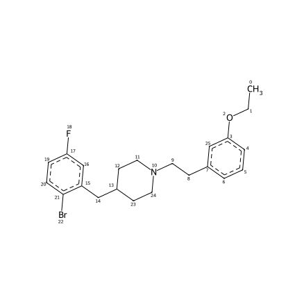 CCOc1cccc(CCN2CCC(Cc3cc(F)ccc3Br)CC2)c1